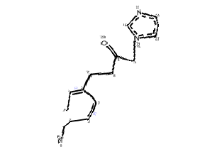 C/C=C(\C=C/CBr)CCC(=O)Cn1ccnc1